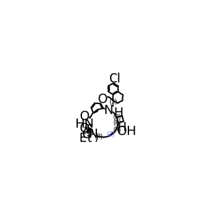 CCN1[C@H](C)C/C=C\[C@H](O)[C@@H]2CC[C@H]2CN2C[C@@]3(CCCc4cc(Cl)ccc43)COc3ccc(cc32)C(=O)NS1(=O)=O